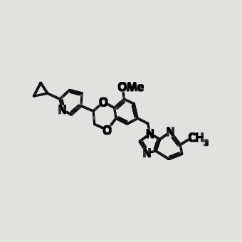 COc1cc(Cn2cnc3ccc(C)nc32)cc2c1OC(c1ccc(C3CC3)nc1)CO2